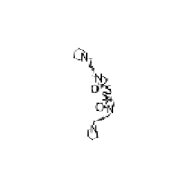 O=C1[C@H](SS[C@@H]2CCN(CC#CCN3CCCCC3)C2=O)CCN1CC#CCN1CCCCC1